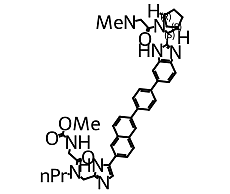 CCCN(Cc1ncc(-c2ccc3cc(-c4ccc(-c5ccc6nc([C@@H]7[C@H]8CC[C@H](C8)N7C(=O)CNC)[nH]c6c5)cc4)ccc3c2)[nH]1)C(=O)CNC(=O)OC